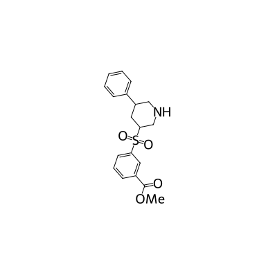 COC(=O)c1cccc(S(=O)(=O)C2CNCC(c3ccccc3)C2)c1